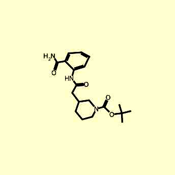 CC(C)(C)OC(=O)N1CCCC(CC(=O)Nc2ccccc2C(N)=O)C1